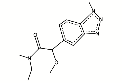 CCN(C)C(=O)C(OC)c1ccc2c(c1)nnn2C